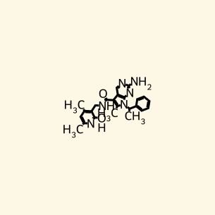 Cc1cc(C)c(CNC(=O)c2c(C)n(C(C)c3ccccc3)c3nc(N)ncc23)c(O)n1